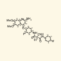 CCC(C#N)(C(=O)Nc1ccc(F)cc1)C(=O)Nc1ccc(Oc2cc(N)nc3cc(OC)c(OC)cc23)c(F)c1